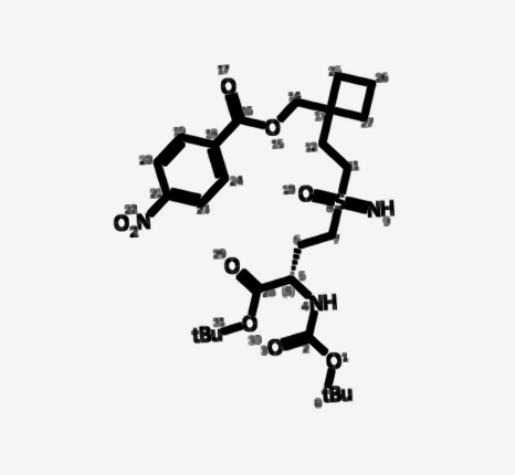 CC(C)(C)OC(=O)N[C@@H](CCS(=N)(=O)CCC1(COC(=O)c2ccc([N+](=O)[O-])cc2)CCC1)C(=O)OC(C)(C)C